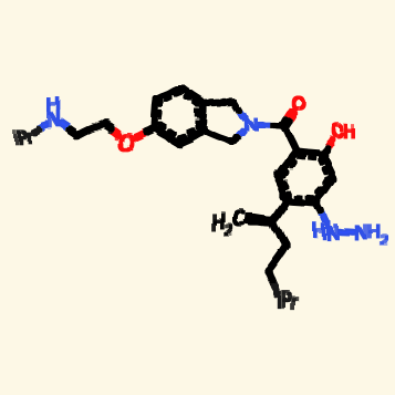 C=C(CCC(C)C)c1cc(C(=O)N2Cc3ccc(OCCNC(C)C)cc3C2)c(O)cc1NN